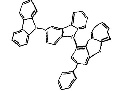 c1ccc(-c2cc(-n3c4ccccc4c4cc(-n5c6ccccc6c6ccccc65)ccc43)c3c(c2)sc2ccccc23)cc1